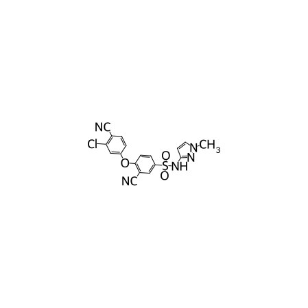 Cn1ccc(NS(=O)(=O)c2ccc(Oc3ccc(C#N)c(Cl)c3)c(C#N)c2)n1